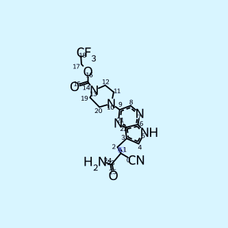 N#C/C(=C\c1c[nH]c2ncc(N3CCN(C(=O)OCC(F)(F)F)CC3)nc12)C(N)=O